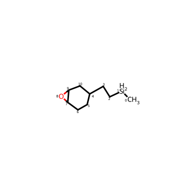 C[SiH2]CCC1CCC2OC2C1